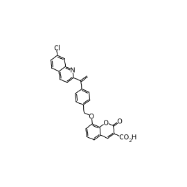 C=C(c1ccc(COc2cccc3cc(C(=O)O)c(=O)oc23)cc1)c1ccc2ccc(Cl)cc2n1